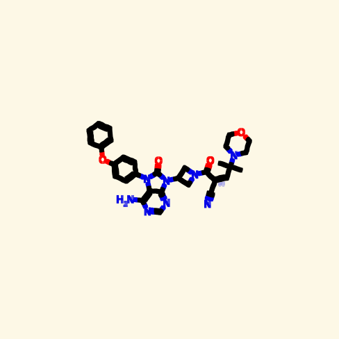 CC(C)(/C=C(/C#N)C(=O)N1CC(n2c(=O)n(-c3ccc(Oc4ccccc4)cc3)c3c(N)ncnc32)C1)N1CCOCC1